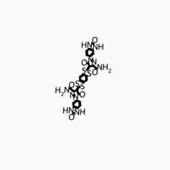 NC(=O)C1=NN(c2ccc3[nH]c(=O)[nH]c3c2)C(=O)C1=C1Sc2cc3c(cc2S1)SC(=C1C(=O)N(c2ccc4[nH]c(=O)[nH]c4c2)N=C1C(N)=O)S3